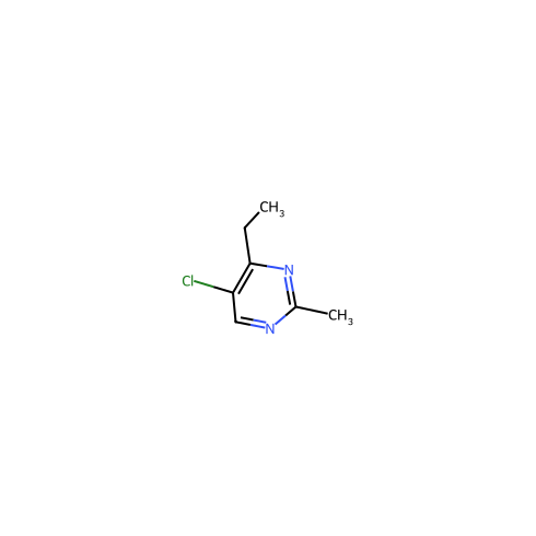 CCc1nc(C)ncc1Cl